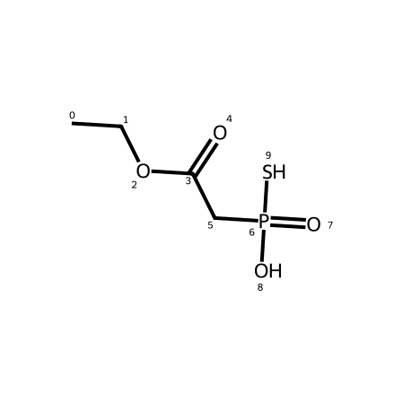 CCOC(=O)CP(=O)(O)S